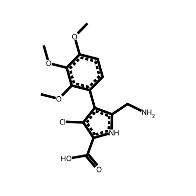 COc1ccc(-c2c(CN)[nH]c(C(=O)O)c2Cl)c(OC)c1OC